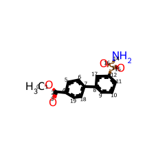 COC(=O)c1ccc(-c2cccc(S(N)(=O)=O)c2)cc1